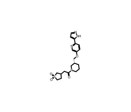 O=C(CC1CCS(=O)(=O)C1)N1CCC[C@@H](COc2ccc(-c3ccn[nH]3)nc2)C1